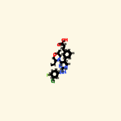 CCC1COC(C)CN1c1nc(Nc2ccc(F)c(Cl)c2)ncc1-c1cccc(/C=C/C(=O)O)c1